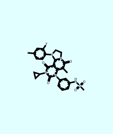 Cc1c(=O)n2c(c3c(=O)n(C4CC4)c(=O)n(-c4cccc(NS(C)(=O)=O)c4)c13)N(c1ccc(I)cc1F)CC2